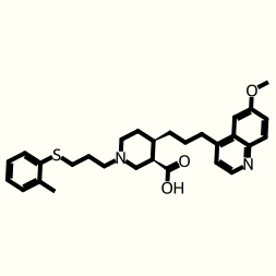 COc1ccc2nccc(CCC[C@@H]3CCN(CCCSc4ccccc4C)C[C@@H]3C(=O)O)c2c1